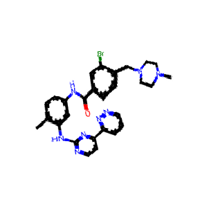 Cc1ccc(NC(=O)c2ccc(CN3CCN(C)CC3)c(Br)c2)cc1Nc1nccc(-c2cccnn2)n1